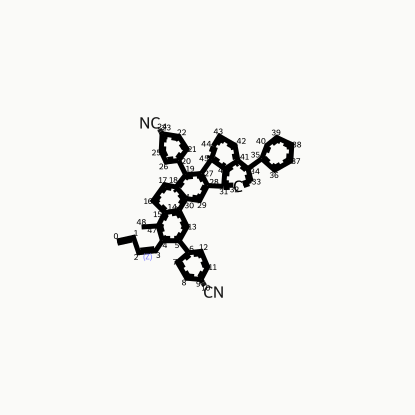 C=C/C=C\c1c(-c2ccc(C#N)cc2)cc2c(ccc3c(-c4ccc(C#N)cc4)c4c(cc32)-c2ccc(-c3ccccc3)c3cccc-4c23)c1C